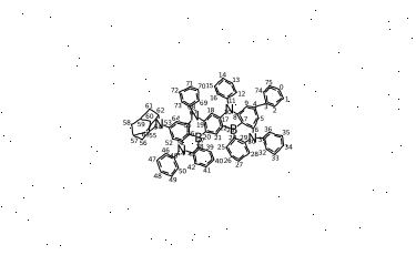 c1ccc(-c2cc3c4c(c2)N(c2ccccc2)c2cc5c(cc2B4c2ccccc2N3c2ccccc2)B2c3ccccc3N(c3ccccc3)c3cc(N4C6CC7CC(C6)CC4C7)cc(c32)N5c2ccccc2)cc1